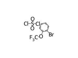 FC(F)(F)Oc1ccccc1Br.O=S(=O)(Cl)Cl